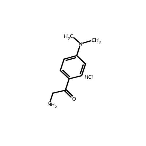 CN(C)c1ccc(C(=O)CN)cc1.Cl